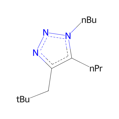 CCCCn1nnc(CC(C)(C)C)c1CCC